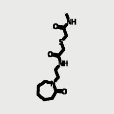 CNC(=O)CSCC(=O)NCCN1CCCCCC1=O